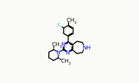 CC1=CC=C(c2nc(N3[C@H](C)CCC[C@@H]3C)nc3c2CCNCC3)CC1F